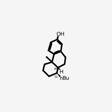 CCCC[C@H]1CCCC2(C)c3ccc(O)cc3CC[C@H]12